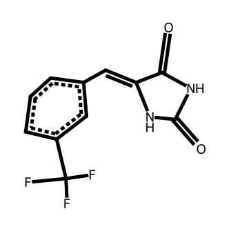 O=C1NC(=O)C(=Cc2cccc(C(F)(F)F)c2)N1